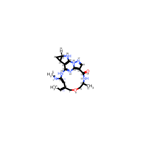 C=N/C1=C\C(=C/C)COCC(C)NC(=O)c2cnn3c4c(c(nc23)N1)C1C[C@@H]1N4